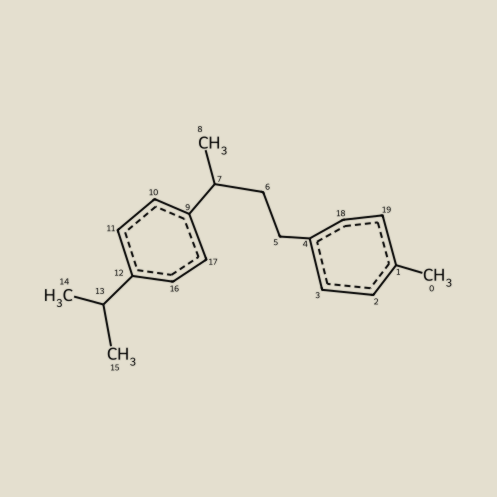 Cc1ccc(CCC(C)c2ccc(C(C)C)cc2)cc1